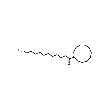 CCCCCCCCCCCC(=O)N1CCCCCCCCCC1